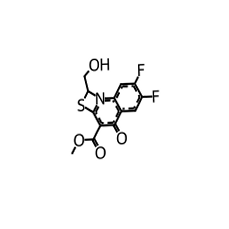 COC(=O)c1c2n(c3cc(F)c(F)cc3c1=O)C(CO)S2